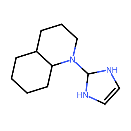 [C]1=CNC(N2CCCC3CCCCC32)N1